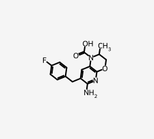 CC1COc2nc(N)c(Cc3ccc(F)cc3)cc2N1C(=O)O